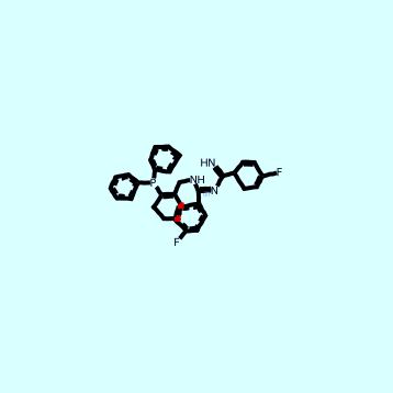 N=C(/N=C(\NCC1=C(P(c2ccccc2)c2ccccc2)CCC=C1)c1ccc(F)cc1)C1C=CC(F)=CC1